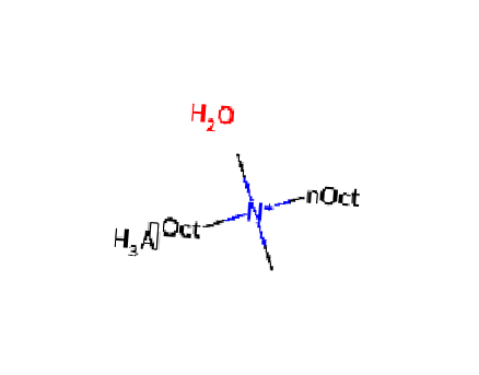 CCCCCCCC[N+](C)(C)CCCCCCCC.O.[AlH3]